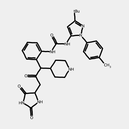 Cc1ccc(-n2nc(C(C)(C)C)cc2NC(=O)Nc2ccccc2C(C(=O)CC2NC(=O)NC2=O)C2CCNCC2)cc1